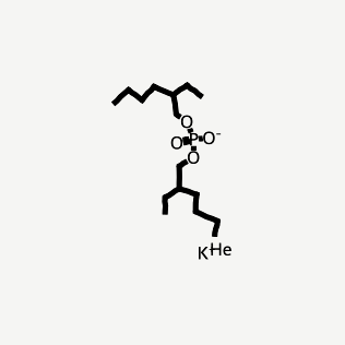 CCCCC(CC)COP(=O)([O-])OCC(CC)CCCC.[He].[K+]